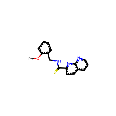 CC(C)Oc1ccccc1CNC(=S)c1ccc2cccnc2n1